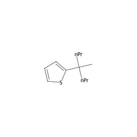 CCCC(C)(CCC)c1cccs1